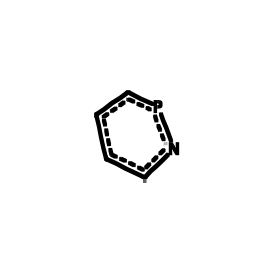 [c]1cccpn1